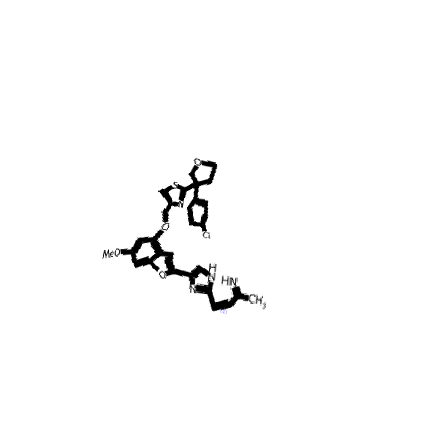 COc1cc(OCc2csc(C3(c4ccc(Cl)cc4)CCOC3)n2)c2cc(-c3c[nH]c(/C=C\C(C)=N)n3)oc2c1